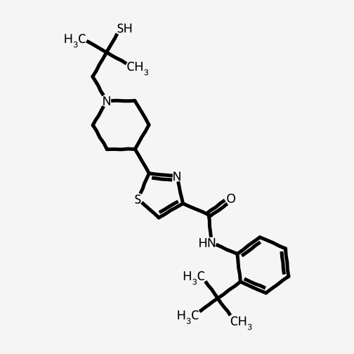 CC(C)(S)CN1CCC(c2nc(C(=O)Nc3ccccc3C(C)(C)C)cs2)CC1